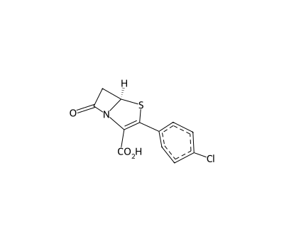 O=C(O)C1=C(c2ccc(Cl)cc2)S[C@@H]2CC(=O)N12